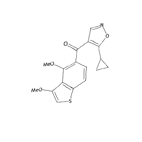 COc1csc2ccc(C(=O)c3cnoc3C3CC3)c(OC)c12